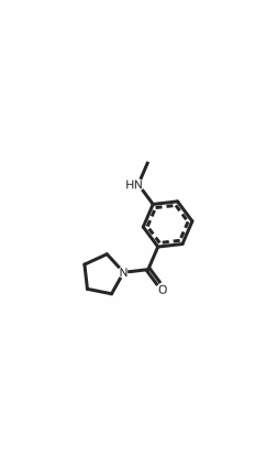 CNc1cccc(C(=O)N2CCCC2)c1